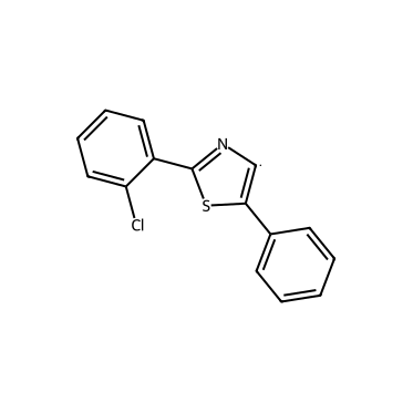 Clc1ccccc1-c1n[c]c(-c2ccccc2)s1